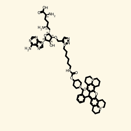 Nc1ncnc2c1ncn2[C@@H]1O[C@H](C[C@@H](N)CC[C@H](N)C(=O)O)[C@@H](OCc2cnnn2CCCCCCNC(=O)OC2CCN(C(=O)c3ccccc3C3=c4cc5c6c(c4Oc4c3cc3c7c4CCCN7CCC3)CCC[N+]=6CCC5)CC2)[C@H]1O